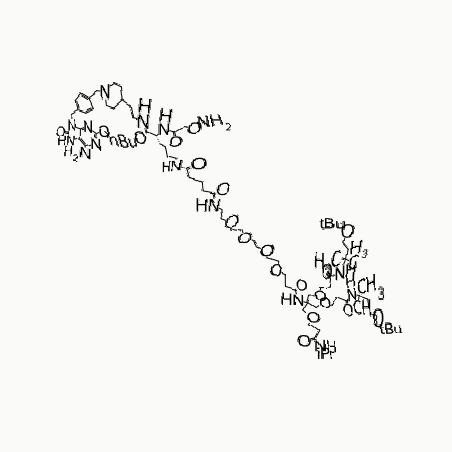 CCCCOc1nc(N)c2[nH]c(=O)n(Cc3ccc(CN4CCC(CCNC(=O)[C@@H](CCCCNC(=O)CCCC(=O)NCCOCCOCCOCCOCCC(=O)NC(COCCC(=O)NC(C)C)(COCCC(=O)NC(C)(C)CCOC(C)(C)C)COCCC(=O)NC(C)(C)CCOC(C)(C)C)NC(=O)CON)CC4)cc3)c2n1